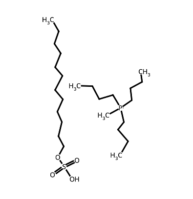 CCCCCCCCCCCCOS(=O)(=O)O.CCCC[P](C)(CCCC)CCCC